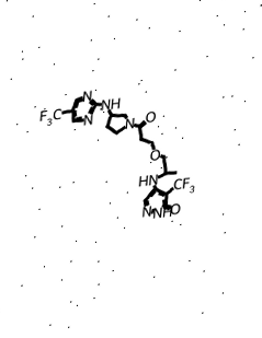 CC(COCCC(=O)N1CCC(Nc2ncc(C(F)(F)F)cn2)C1)Nc1cn[nH]c(=O)c1C(F)(F)F